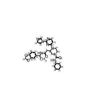 CC(NC(=O)CC1CN(C(=O)Nc2ccccc2)CCN1c1ccnc(-n2ccnc2)n1)c1ccc2c(c1)OCO2